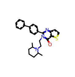 CC1CCCC(C)N1CCn1c(-c2ccc(-c3ccccc3)cc2)nc2ccsc2c1=O